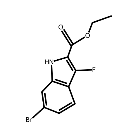 CCOC(=O)c1[nH]c2cc(Br)ccc2c1F